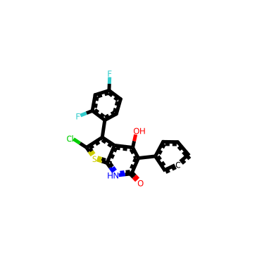 O=c1[nH]c2sc(Cl)c(-c3ccc(F)cc3F)c2c(O)c1-c1ccccc1